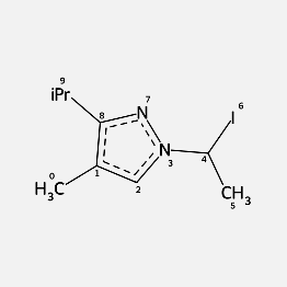 Cc1cn(C(C)I)nc1C(C)C